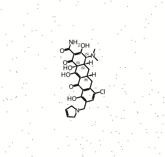 CN(C)[C@@H]1C(O)=C(C(N)=O)C(=O)[C@@]2(O)C(O)=C3C(=O)c4c(O)c(CN5CC=CC5)cc(Cl)c4C[C@H]3C[C@@H]12